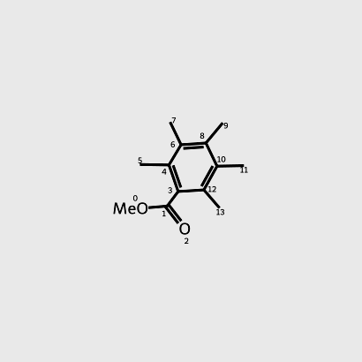 COC(=O)c1c(C)c(C)c(C)c(C)c1C